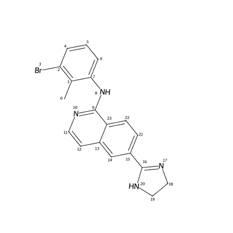 Cc1c(Br)cccc1Nc1nccc2cc(C3=NCCN3)ccc12